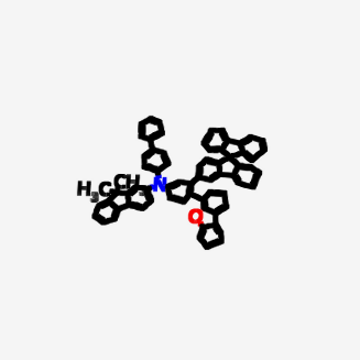 CC1(C)c2ccccc2-c2ccc(N(c3ccc(-c4ccccc4)cc3)c3ccc(-c4cccc5c4oc4ccccc45)c(-c4ccc5c(c4)-c4ccccc4C54c5ccccc5-c5ccccc54)c3)cc21